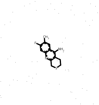 Cc1cc2c(N)c3c(nc2cc1F)CSCC3